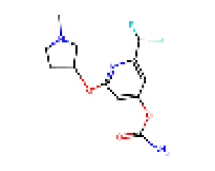 CN1CCC(Oc2cc(OC(N)=O)cc(C(F)F)n2)C1